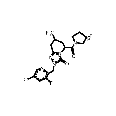 O=C(C1CC(C(F)(F)F)Cc2nn(Cc3ncc(Cl)cc3F)c(=O)n21)N1CC[C@H](F)C1